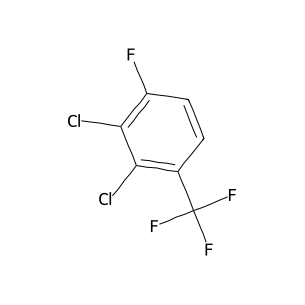 Fc1ccc(C(F)(F)F)c(Cl)c1Cl